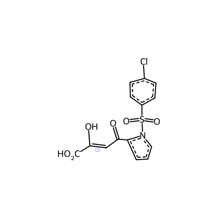 O=C(O)/C(O)=C/C(=O)c1cccn1S(=O)(=O)c1ccc(Cl)cc1